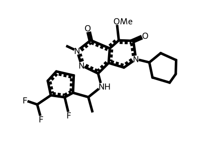 COc1c(=O)n(C2CCCCC2)cc2c(NC(C)c3cccc(C(F)F)c3F)nn(C)c(=O)c12